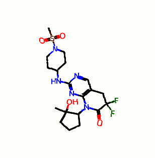 CC1(O)CCCC1N1C(=O)C(F)(F)Cc2cnc(NC3CCN(S(C)(=O)=O)CC3)nc21